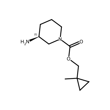 CC1(COC(=O)N2CCC[C@H](N)C2)CC1